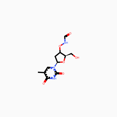 Cc1cn([C@H]2CC(ONC=O)[C@@H](CO)O2)c(=O)[nH]c1=O